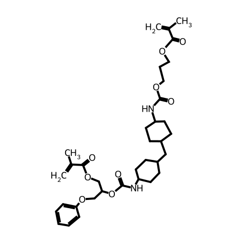 C=C(C)C(=O)OCCCOC(=O)NC1CCC(CC2CCC(NC(=O)OC(COC(=O)C(=C)C)COc3ccccc3)CC2)CC1